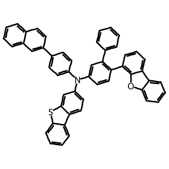 c1ccc(-c2cc(N(c3ccc(-c4ccc5ccccc5c4)cc3)c3ccc4c(c3)sc3ccccc34)ccc2-c2cccc3c2oc2ccccc23)cc1